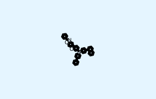 c1ccc(-c2ccc(N(c3ccc(-c4cccc5ccccc45)cc3)c3ccc4c(c3)oc3cc5oc(-c6ccccc6)nc5cc34)cc2)cc1